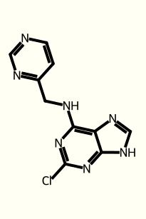 Clc1nc(NCc2ccncn2)c2nc[nH]c2n1